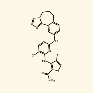 CNC(=O)c1scc(C)c1Nc1nc(Nc2ccc3c(c2)-c2nccn2CCC3)ncc1Cl